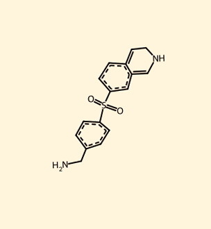 NCc1ccc(S(=O)(=O)c2ccc3c(c2)=CNCC=3)cc1